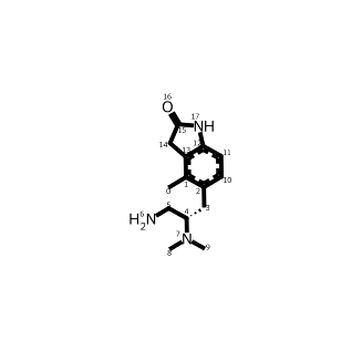 Cc1c(C[C@@H](CN)N(C)C)ccc2c1CC(=O)N2